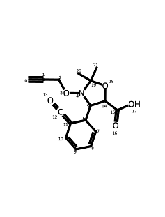 C#CCON1C(C2C=CC=CC2=C=O)C(C(=O)O)OC1(C)C